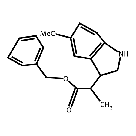 COc1ccc2c(c1)C(C(C)C(=O)OCc1ccccc1)CN2